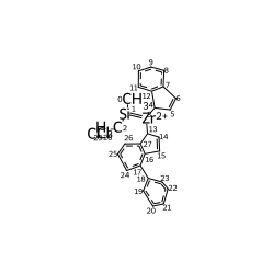 C[Si](C)=[Zr+2]([CH]1C=Cc2ccccc21)[CH]1C=Cc2c(-c3ccccc3)cccc21.[Cl-].[Cl-]